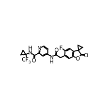 O=C(Cc1cc2c(cc1F)C1(CC1)C(=O)O2)Nc1ccnc(C(=O)NC2(C(F)(F)F)CC2)c1